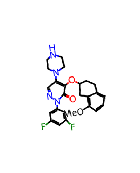 COc1cccc2c1CC(Oc1c(N3CCNCC3)cnn(-c3cc(F)cc(F)c3)c1=O)CC2